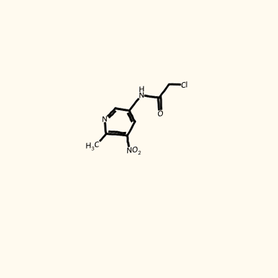 Cc1ncc(NC(=O)CCl)cc1[N+](=O)[O-]